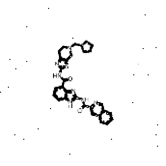 O=C(Nc1nc2c(C(=O)Nc3nc4c(s3)CN(CC3CCCC3)CC4)cccc2[nH]1)c1cc2ccccc2cn1